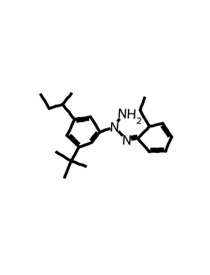 CCC1C=CC=C/C1=N/N(N)c1cc(C(C)CC)cc(C(C)(C)C)c1